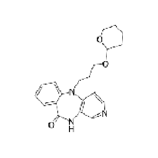 O=C1Nc2cnccc2N(CCCOC2CCCCO2)c2ccccc21